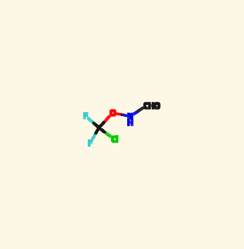 O=CNOC(F)(F)Cl